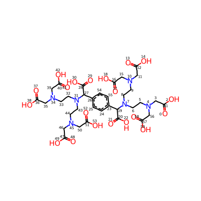 O=C(O)CN(CCN(CCN(CC(=O)O)CC(=O)O)C(C(=O)O)c1ccc(C(C(=O)O)N(CCN(CC(=O)O)CC(=O)O)CCN(CC(=O)O)CC(=O)O)cc1)CC(=O)O